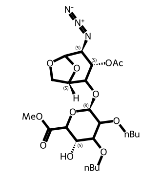 CCCCOC1C(OCCCC)[C@H](O)C(C(=O)OC)O[C@H]1OC1[C@@H]2COC(O2)[C@@H](N=[N+]=[N-])[C@@H]1OC(C)=O